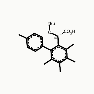 Cc1ccc(-c2c(C)c(C)c(C)c(C)c2[C@H](OC(C)(C)C)C(=O)O)cc1